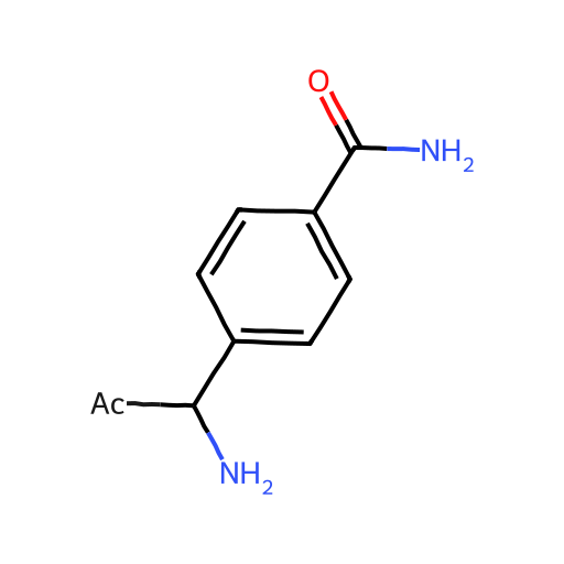 CC(=O)C(N)c1ccc(C(N)=O)cc1